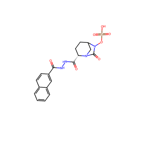 O=C(NNC(=O)[C@@H]1CCC2CN1C(=O)N2OS(=O)(=O)O)c1ccc2ccccc2c1